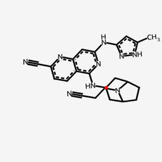 Cc1cc(Nc2cc3nc(C#N)ccc3c(NC3CC4CCC(C3)N4CCC#N)n2)n[nH]1